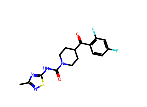 Cc1nsc(NC(=O)N2CCC(C(=O)c3ccc(F)cc3F)CC2)n1